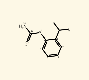 CC(C)c1ccccc1SC(N)=O